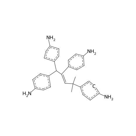 CC(C)(C=C(c1ccc(N)cc1)C(c1ccc(N)cc1)c1ccc(N)cc1)c1ccc(N)cc1